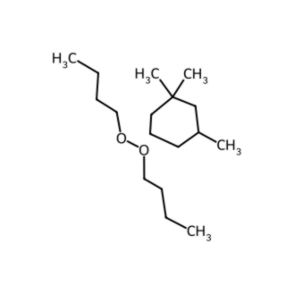 CC1CCCC(C)(C)C1.CCCCOOCCCC